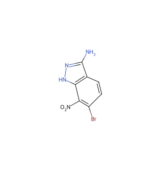 Nc1n[nH]c2c([N+](=O)[O-])c(Br)ccc12